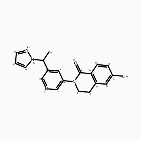 CC(c1cncc(N2CCc3cc(Cl)ccc3C2=O)c1)n1cccn1